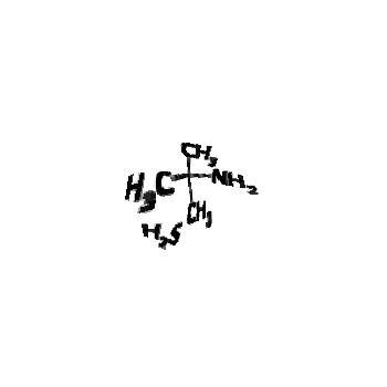 CC(C)(C)N.S